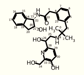 CC(C)(Cc1cccc(CC(=O)N[C@H]2c3ccccc3C[C@H]2O)c1)NCC(O)c1ccc(O)c(CO)n1